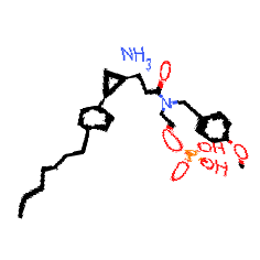 CCCCCCCc1ccc([C@H]2C[C@H]2CCC(=O)N(CCOP(=O)(O)O)Cc2ccc(OC)cc2)cc1.N